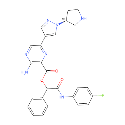 Nc1ncc(-c2cnn([C@H]3CCNC3)c2)nc1C(=O)OC(C(=O)Nc1ccc(F)cc1)c1ccccc1